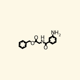 Nc1cccc(C(=O)NCC(=O)OCc2ccccc2)c1